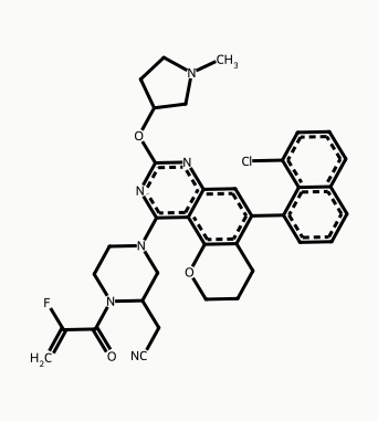 C=C(F)C(=O)N1CCN(c2nc(OC3CCN(C)C3)nc3cc(-c4cccc5cccc(Cl)c45)c4c(c23)OCCC4)CC1CC#N